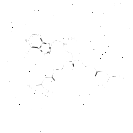 CC(C)OC(=O)OCOP(=O)(CO[C@@H](C)Cn1cnc2c1=NCNC=2N)OCOC(=O)OC(C)C